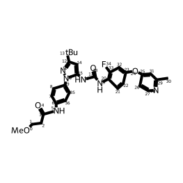 COCCC(=O)Nc1ccc(-n2nc(C(C)(C)C)cc2NC(=O)Nc2ccc(Oc3ccnc(C)c3)cc2F)cc1